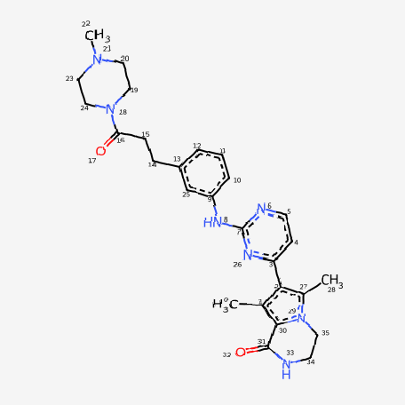 Cc1c(-c2ccnc(Nc3cccc(CCC(=O)N4CCN(C)CC4)c3)n2)c(C)n2c1C(=O)NCC2